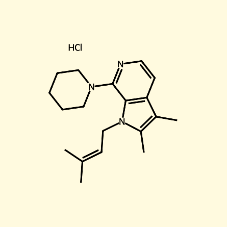 CC(C)=CCn1c(C)c(C)c2ccnc(N3CCCCC3)c21.Cl